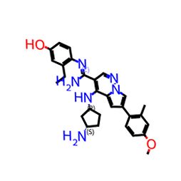 CCc1cc(O)ccc1/N=C(\N)c1cnn2cc(-c3ccc(OC)cc3C)cc2c1N[C@@H]1CC[C@H](N)C1